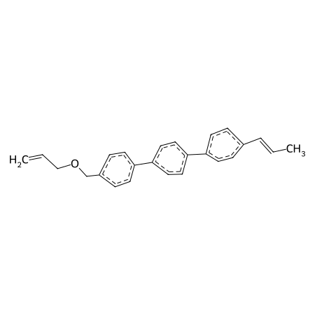 C=CCOCc1ccc(-c2ccc(-c3ccc(C=CC)cc3)cc2)cc1